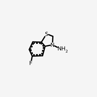 NN1CSc2ccc(F)cc21